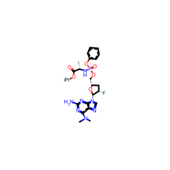 CC(C)OC(=O)[C@H](C)N[P@@](=O)(OC[C@@H]1C[C@H](F)[C@H](n2cnc3c(N(C)C)nc(N)nc32)O1)Oc1ccccc1